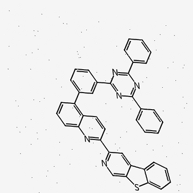 c1ccc(-c2nc(-c3ccccc3)nc(-c3cccc(-c4cccc5nc(-c6cc7c(cn6)sc6ccccc67)ccc45)c3)n2)cc1